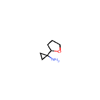 NC1(C2CCCO2)CC1